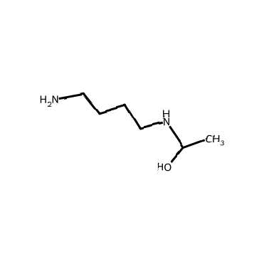 CC(O)NCCCCN